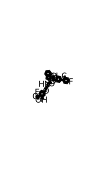 Cc1cc(F)ccc1-c1ccc(S(=O)(=O)N2c3ccccc3C[C@H]2C(=O)NCCOc2cc(F)c(C(=O)O)c(F)c2)cc1